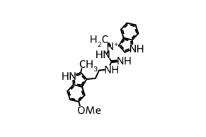 C=[N+](NC(=N)NCCc1c(C)[nH]c2ccc(OC)cc12)c1c[nH]c2ccccc12